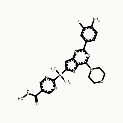 C[N+](C)(c1ncc(C(=O)NO)cn1)c1cc2nc(-c3ccc(N)c(F)c3)nc(N3CCOCC3)c2s1